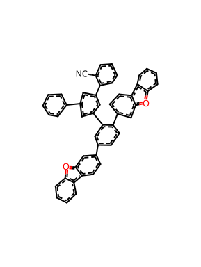 N#Cc1ccccc1-c1cc(-c2ccccc2)cc(-c2cc(-c3ccc4c(c3)oc3ccccc34)ccc2-c2ccc3c(c2)oc2ccccc23)c1